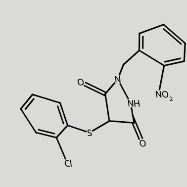 O=C1NN(Cc2ccccc2[N+](=O)[O-])C(=O)C1Sc1ccccc1Cl